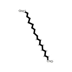 O=[C]CCCCCCCCCCCCCCCCC[C]=O